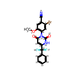 COc1cc(C#N)c(Br)cc1-n1c(=O)cc(C(F)(F)c2ccccc2)[nH]c1=O